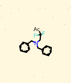 CC(=O)C(F)(F)CN(Cc1ccccc1)Cc1ccccc1